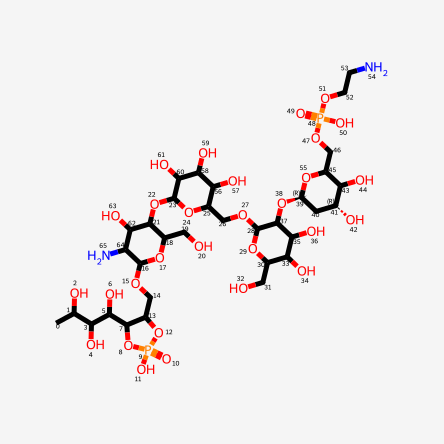 CC(O)C(O)C(O)C1OP(=O)(O)OC1COC1OC(CO)C(OC2OC(COC3OC(CO)C(O)C(O)C3O[C@@H]3C[C@@H](O)C(O)C(COP(=O)(O)OCCN)O3)C(O)C(O)C2O)C(O)C1N